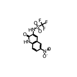 O=c1[nH]c2ccc([N+](=O)[O-])cc2cc1NS(=O)(=O)C(F)(F)F